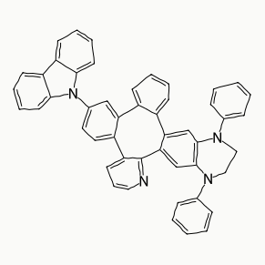 c1ccc(N2CCN(c3ccccc3)c3cc4c(cc32)-c2ccccc2-c2cc(-n3c5ccccc5c5ccccc53)ccc2-c2cccnc2-4)cc1